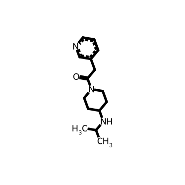 CC(C)NC1CCN(C(=O)Cc2cccnc2)CC1